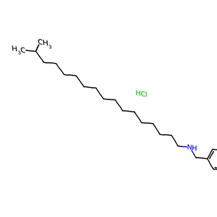 CC(C)CCCCCCCCCCCCCCCNCc1ccccc1.Cl